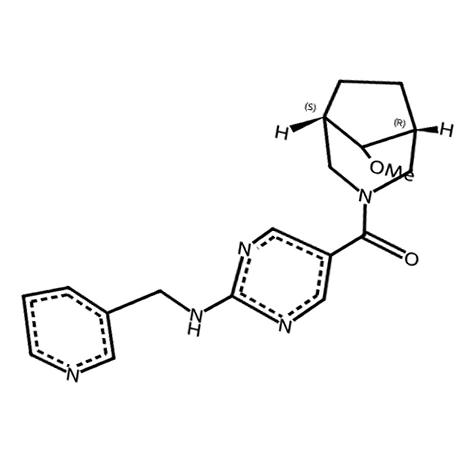 COC1[C@@H]2CC[C@H]1CN(C(=O)c1cnc(NCc3cccnc3)nc1)C2